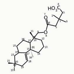 CC(C)(CC(=O)O)CC(=O)OC[C@]1(C)CCC[C@@]2(C)C3=CC[C@](C)(I)CC3CCC12